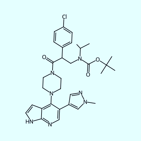 CC(C)N(CC(C(=O)N1CCN(c2c(-c3cnn(C)c3)cnc3[nH]ccc23)CC1)c1ccc(Cl)cc1)C(=O)OC(C)(C)C